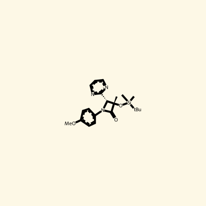 COc1ccc(N2C(=O)[C@@](C)(O[Si](C)(C)C(C)(C)C)[C@H]2c2ncccn2)cc1